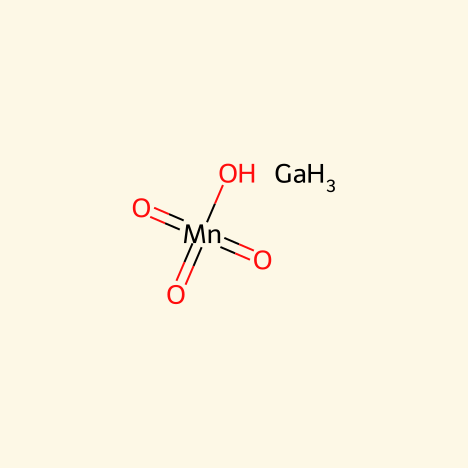 [GaH3].[O]=[Mn](=[O])(=[O])[OH]